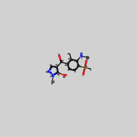 CCNc1c(S(C)(=O)=O)ccc(C(=O)c2cnn(CC)c2O)c1C